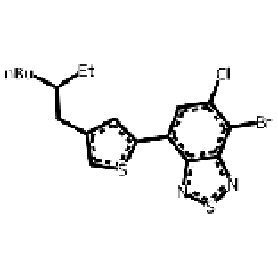 CCCCC(CC)Cc1csc(-c2cc(Cl)c(Br)c3nsnc23)c1